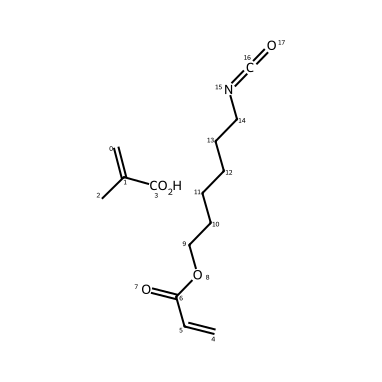 C=C(C)C(=O)O.C=CC(=O)OCCCCCCN=C=O